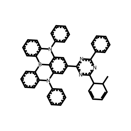 CC1C=CC=CC1c1nc(-c2ccccc2)nc(-c2cc3c4c(c2)N(c2ccccc2)c2ccccc2B4c2ccccc2N3c2ccccc2)n1